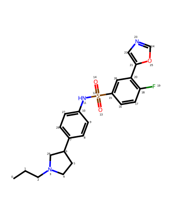 CCCN1CCC(c2ccc(NS(=O)(=O)c3ccc(F)c(-c4cnco4)c3)cc2)C1